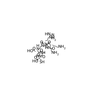 C[C@H](NC(=O)[C@H](CC(=O)O)NC(=O)CNC(=O)[C@H](CCCNC(=N)N)NC(=O)[C@H](CCCCN)NC(=O)CN)C(=O)N[C@@H](CS)C(=O)O